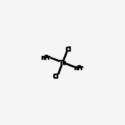 CCC[Te](Cl)(Cl)CCC